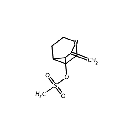 C=C1C(OS(C)(=O)=O)C2CCN1CC2